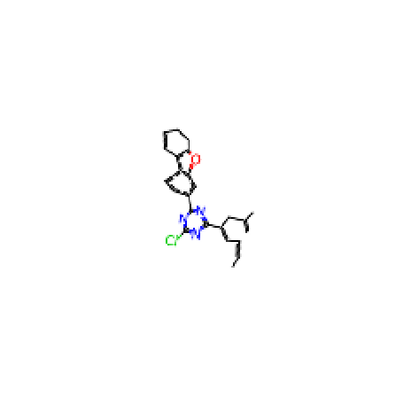 C=C(C)C/C(=C\C=C/C)c1nc(Cl)nc(-c2ccc3c4c(oc3c2)CCC=C4)n1